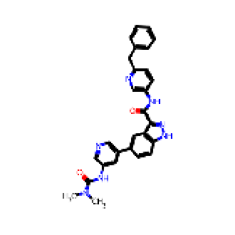 CN(C)C(=O)Nc1cncc(-c2ccc3[nH]nc(C(=O)Nc4ccc(Cc5ccccc5)nc4)c3c2)c1